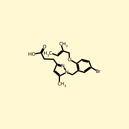 CC=C(C)COc1ccc(Br)cc1Cn1nc(CCC(=O)O)cc1C